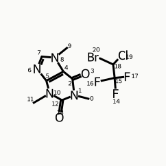 Cn1c(=O)c2c(ncn2C)n(C)c1=O.FC(F)(F)C(Cl)Br